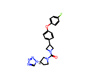 O=C(N1CC(c2ccc(Oc3ccc(F)cc3)cc2)C1)N1CC[C@H](n2cnnn2)C1